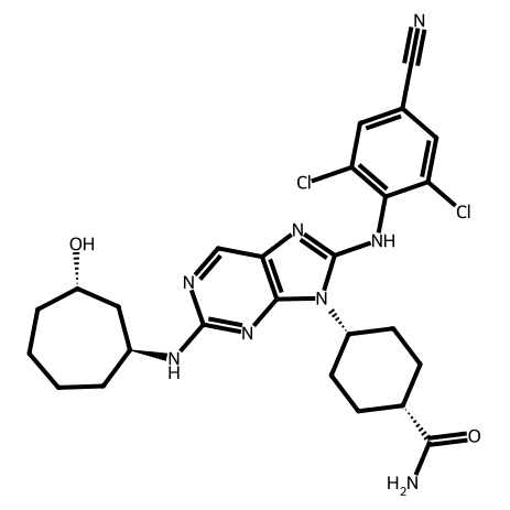 N#Cc1cc(Cl)c(Nc2nc3cnc(N[C@H]4CCCC[C@H](O)C4)nc3n2[C@H]2CC[C@@H](C(N)=O)CC2)c(Cl)c1